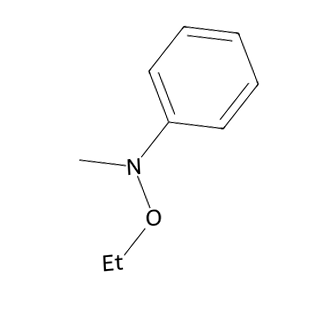 CCON(C)c1ccccc1